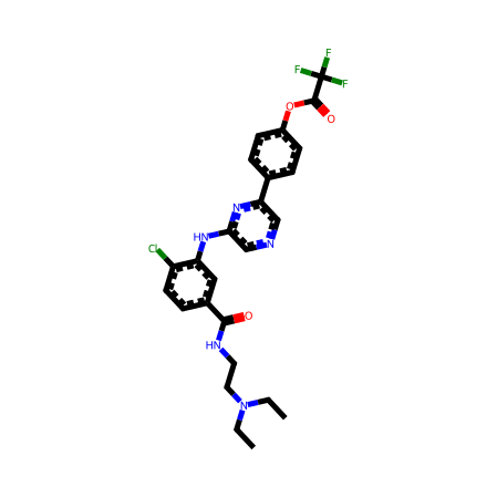 CCN(CC)CCNC(=O)c1ccc(Cl)c(Nc2cncc(-c3ccc(OC(=O)C(F)(F)F)cc3)n2)c1